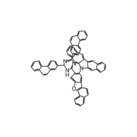 c1ccc2cc3c(cc2c1)c1cc2ccccc2cc1n3-c1cc2c(cc1C1=NC(c3ccc4c(ccc5ccccc54)c3)=NC(c3ccc4c(ccc5ccccc54)c3)N1)oc1c3ccccc3ccc21